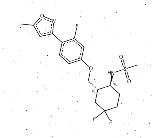 Cc1cc(-c2ccc(OC[C@H]3CC(F)(F)CC[C@@H]3NS(C)(=O)=O)cc2F)no1